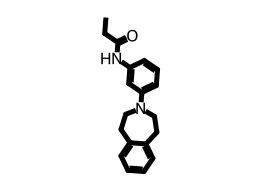 CCC(=O)Nc1cccc(N2CCc3ccccc3CC2)c1